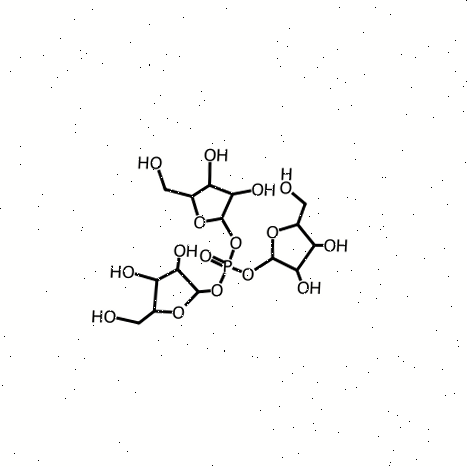 O=P(OC1OC(CO)C(O)C1O)(OC1OC(CO)C(O)C1O)OC1OC(CO)C(O)C1O